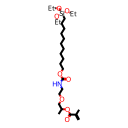 C=C(C)C(=O)OC(C)COCCNC(=O)OCCCCCCCCCCC[Si](OCC)(OCC)OCC